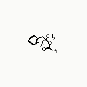 CC(C)C(=O)OC(C)(C)Cc1ccccc1